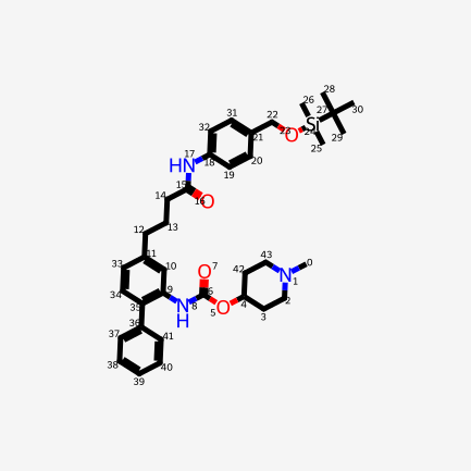 CN1CCC(OC(=O)Nc2cc(CCCC(=O)Nc3ccc(CO[Si](C)(C)C(C)(C)C)cc3)ccc2-c2ccccc2)CC1